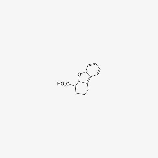 O=C(O)C1CCCC2=C3C=CC=CC3OC21